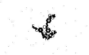 C=C(/C=N\C=C(/C)C#Cc1cccc(OCCF)c1)[C@H](CC(=O)OC(C)(C)C)NC(=O)[C@@H]1CCCN(C(=O)CCC2CCN(C(=O)OC(C)(C)C)CC2)C1